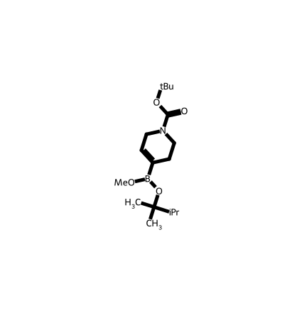 COB(OC(C)(C)C(C)C)C1=CCN(C(=O)OC(C)(C)C)CC1